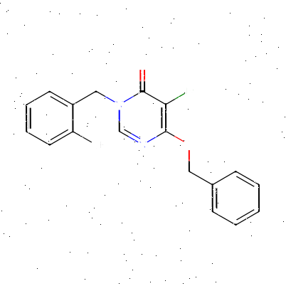 O=c1c(Br)c(OCc2ccccc2)ncn1Cc1ccccc1C(F)(F)F